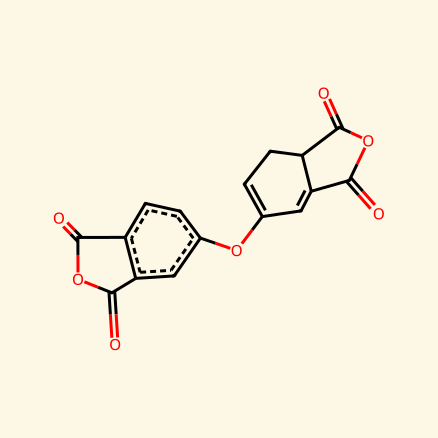 O=C1OC(=O)C2CC=C(Oc3ccc4c(c3)C(=O)OC4=O)C=C12